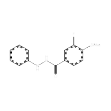 CSc1ccc(C(=O)NNc2ccccc2)cc1F